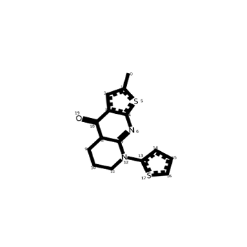 Cc1cc2c(s1)N=C1C(CCCN1c1cccs1)C2=O